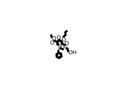 CCCCOc1c2n(cc(C(=O)OCC)c1=O)[C@@H](Cc1ccccc1)CN(CCO)C2=O